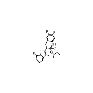 CCC(C)OP(=O)(O)C(Cc1ccc(F)c(F)c1)c1sc2c(F)cccc2c1C